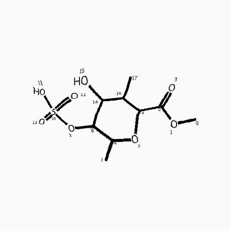 COC(=O)C1OC(C)C(OS(=O)(=O)O)C(O)C1C